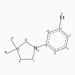 CCc1cccc(N2CCC(C)(C)C2)c1